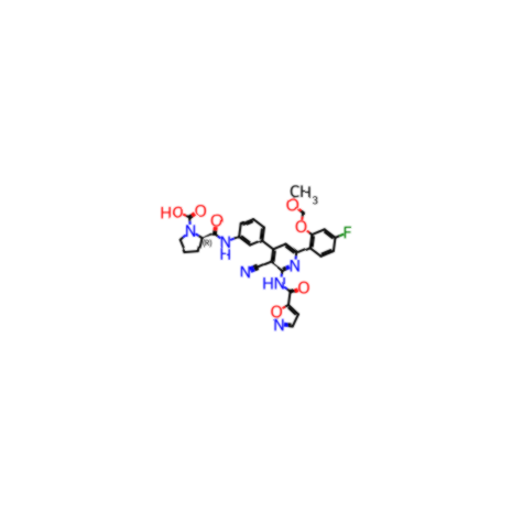 COCOc1cc(F)ccc1-c1cc(-c2cccc(NC(=O)[C@H]3CCCN3C(=O)O)c2)c(C#N)c(NC(=O)c2ccno2)n1